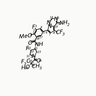 COc1c(F)cc(-c2cc(C(F)(F)F)c3c(N)ncnn23)cc1C(=O)N[C@@H]1CN(C(=O)[C@@](C)(O)C(F)(F)F)C[C@@H]1F